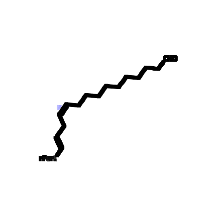 CCCCCC=CC/C=C\CCCCCCCCCC=O